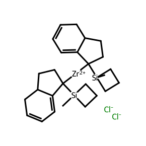 C[Si]1([C]2([Zr+2][C]3([Si]4(C)CCC4)CCC4CC=CC=C43)CCC3CC=CC=C32)CCC1.[Cl-].[Cl-]